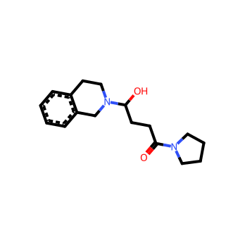 O=C(CCC(O)N1CCc2ccccc2C1)N1CCCC1